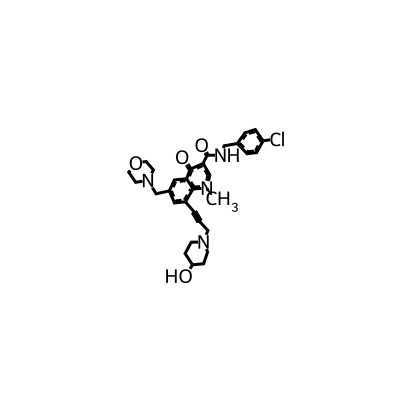 Cn1cc(C(=O)NCc2ccc(Cl)cc2)c(=O)c2cc(CN3CCOCC3)cc(C#CCN3CCC(O)CC3)c21